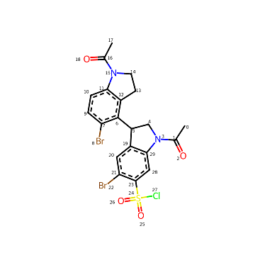 CC(=O)N1CC(c2c(Br)ccc3c2CCN3C(C)=O)c2cc(Br)c(S(=O)(=O)Cl)cc21